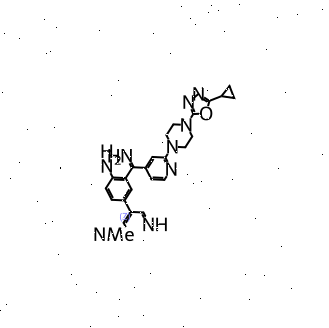 CN/C=C(\C=N)c1ccc(N)c(C(=N)c2ccnc(N3CCN(c4nnc(C5CC5)o4)CC3)c2)c1